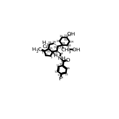 C=C1CC[C@H]2[C@H](CNC(=O)c3ccc(F)cc3)[C@@H]([C@@]3(C)CC[C@H](O)C[C@@H]3CO)CC[C@]12C